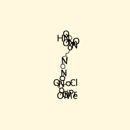 COc1cc2c(cc1OC(C)C)C(c1ccc(Cl)cc1)N(c1ccc(N(C)C[C@H]3CC[C@H](N4CCC(CCc5ccc6c(c5)n(C)c(=O)n6C5CCC(=O)NC5=O)CC4)CC3)cc1)C(=O)C2